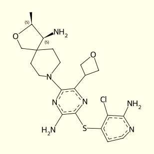 C[C@@H]1OCC2(CCN(c3nc(N)c(Sc4ccnc(N)c4Cl)nc3C3COC3)CC2)[C@@H]1N